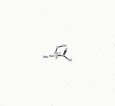 O=C(O)OO.O=[Si](O)O.[NaH].[NaH]